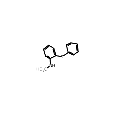 O=C(O)Nc1ccccc1Sc1ccccc1